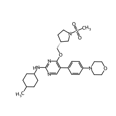 CC1CCC(Nc2ncc(-c3ccc(N4CCOCC4)cc3)c(OC[C@@H]3CCN(S(C)(=O)=O)C3)n2)CC1